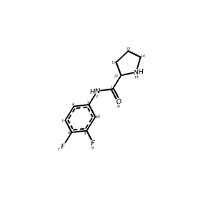 O=C(Nc1ccc(F)c(F)c1)C1CCCN1